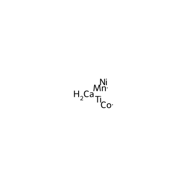 [CaH2].[Co].[Mn].[Ni].[Ti]